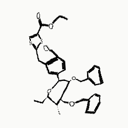 CCOC(=O)c1cnc(Cc2cc([C@@H]3O[C@H](CC)[C@@H](C)[C@H](OCc4ccccc4)[C@H]3OCc3ccccc3)ccc2Cl)s1